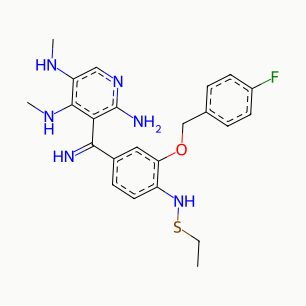 CCSNc1ccc(C(=N)c2c(N)ncc(NC)c2NC)cc1OCc1ccc(F)cc1